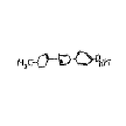 CCCOc1ccc(-c2ccc(C3=CCC(C)CC3)cc2)cc1